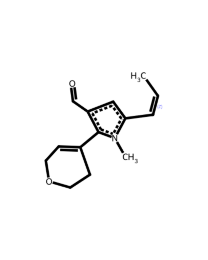 C/C=C\c1cc(C=O)c(C2=CCOCC2)n1C